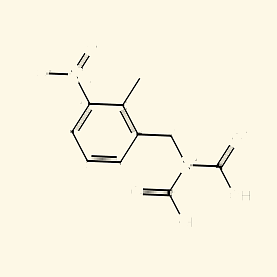 Cc1c(CN(C(=O)O)C(=O)O)cccc1[N+](=O)[O-]